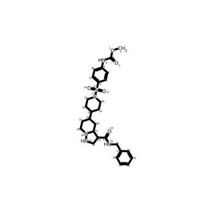 COC(=O)Nc1ccc(S(=O)(=O)N2CCC(C3CCN4NCC(C(=O)NCc5ccccc5)C4C3)CC2)cc1